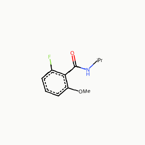 COc1cccc(F)c1C(=O)NC(C)C